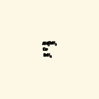 [AlH3].[Cu].[GaH3].[SnH4]